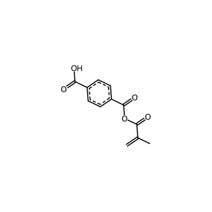 C=C(C)C(=O)OC(=O)c1ccc(C(=O)O)cc1